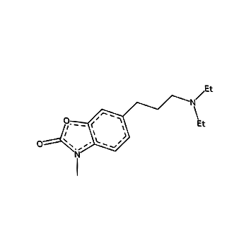 CCN(CC)CCCc1ccc2c(c1)oc(=O)n2C